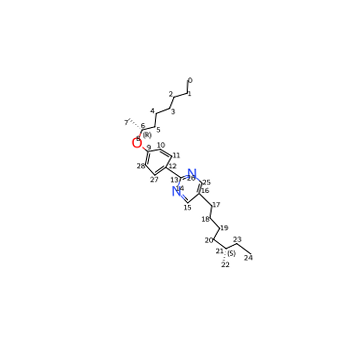 CCCCCC[C@@H](C)Oc1ccc(-c2ncc(CCCC[C@@H](C)CC)cn2)cc1